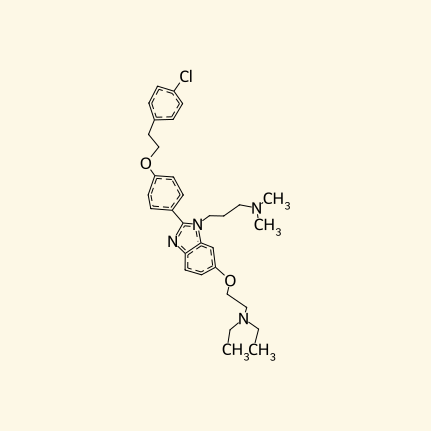 CCN(CC)CCOc1ccc2nc(-c3ccc(OCCc4ccc(Cl)cc4)cc3)n(CCCN(C)C)c2c1